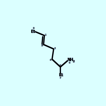 CC/C=C/CCC(N)CC